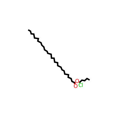 CCCCCCCCCCCCCCCCCCCCCCCCCCCC(=O)OC(Cl)CCCC